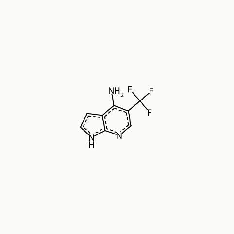 Nc1c(C(F)(F)F)cnc2[nH]ccc12